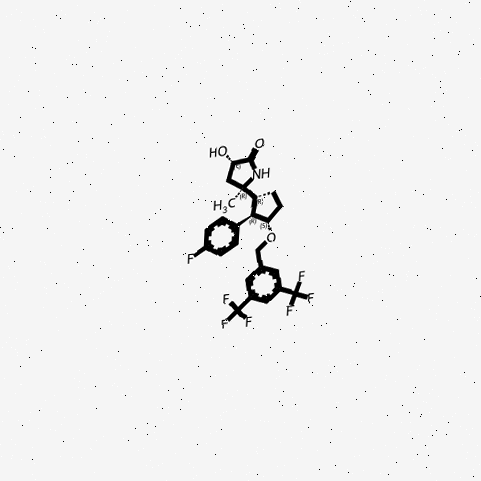 C[C@]1([C@@H]2CC[C@H](OCc3cc(C(F)(F)F)cc(C(F)(F)F)c3)[C@H]2c2ccc(F)cc2)C[C@H](O)C(=O)N1